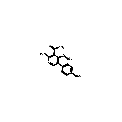 CCCCOc1c(-c2ccc(OC)cc2)cnc(N)c1C(N)=O